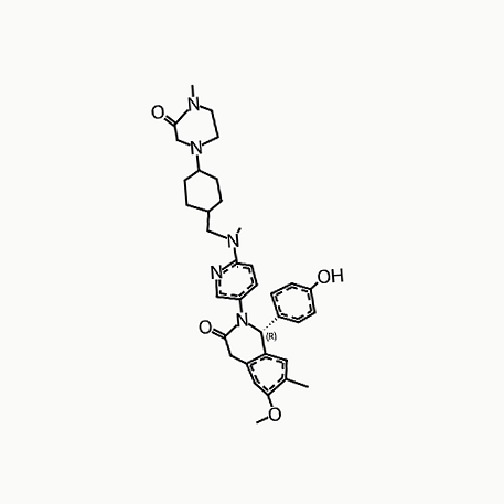 COc1cc2c(cc1C)[C@@H](c1ccc(O)cc1)N(c1ccc(N(C)CC3CCC(N4CCN(C)C(=O)C4)CC3)nc1)C(=O)C2